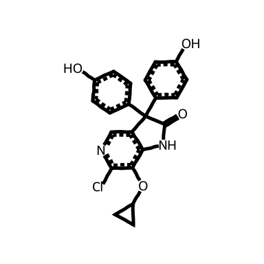 O=C1Nc2c(cnc(Cl)c2OC2CC2)C1(c1ccc(O)cc1)c1ccc(O)cc1